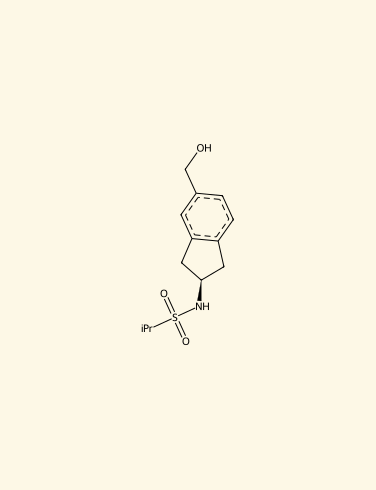 CC(C)S(=O)(=O)N[C@@H]1Cc2ccc(CO)cc2C1